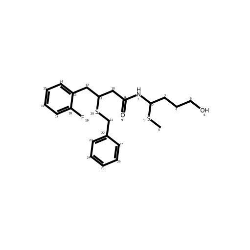 CSC(CCCO)NC(=O)CC(Cc1ccccc1F)SCc1ccccc1